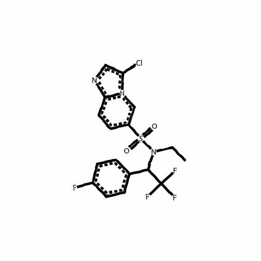 CCN(C(c1ccc(F)cc1)C(F)(F)F)S(=O)(=O)c1ccc2ncc(Cl)n2c1